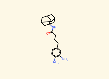 Nc1ccc(CCCC(=O)NC23CC4CC(CC(C4)C2)C3)cc1N